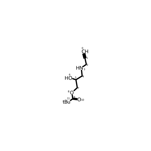 C#CCNCC(O)COC(=O)C(C)(C)C